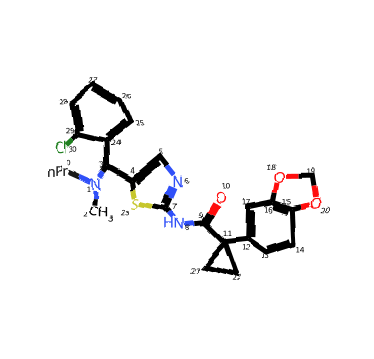 CCCN(C)C(c1cnc(NC(=O)C2(c3ccc4c(c3)OCO4)CC2)s1)c1ccccc1Cl